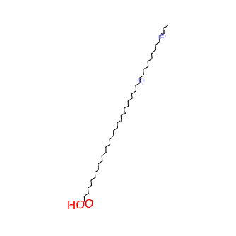 CC/C=C/CCCCCCCCC/C=C/CCCCCCCCCCCCCCCCCCCCCCCCCCCCCC(=O)O